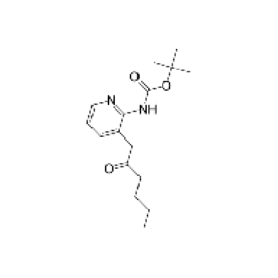 CCCCC(=O)Cc1cccnc1NC(=O)OC(C)(C)C